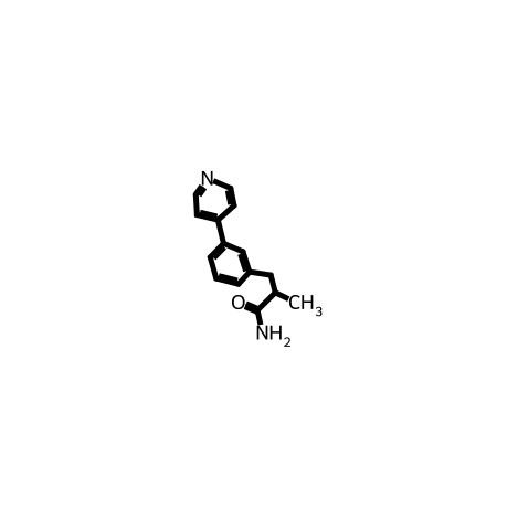 CC(Cc1cccc(-c2ccncc2)c1)C(N)=O